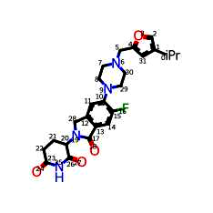 CC(C)c1coc(CN2CCN(c3cc4c(cc3F)C(=O)N(C3CCC(=O)NC3=O)C4)CC2)c1